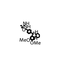 COc1cc2c(cc1OC)[C@H]1CCCC[C@H]1N=C2c1ccc(C(=O)NC(=N)N(C)C)cc1